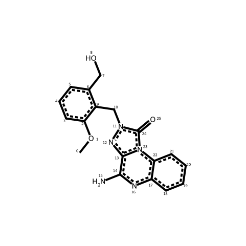 COc1cccc(CO)c1Cn1nc2c(N)nc3ccccc3n2c1=O